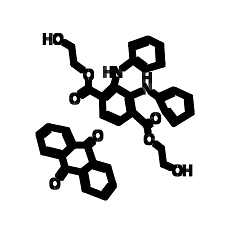 O=C(OCCO)c1ccc(C(=O)OCCO)c(Nc2ccccc2)c1Nc1ccccc1.O=C1c2ccccc2C(=O)c2ccccc21